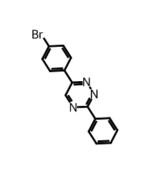 Brc1ccc(-c2cnc(-c3ccccc3)nn2)cc1